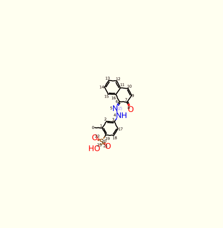 Cc1cc(N/N=C2\C(=O)C=Cc3ccccc32)ccc1S(=O)(=O)O